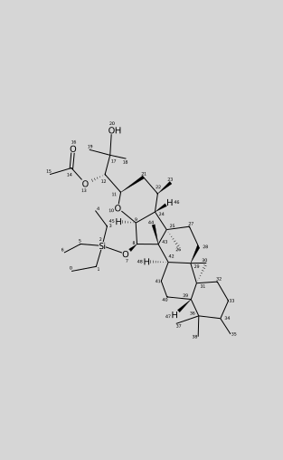 CC[Si](CC)(CC)O[C@H]1[C@H]2O[C@@H]([C@H](OC(C)=O)C(C)(C)O)C[C@@H](C)[C@@H]2[C@@]2(C)CC[C@@]34C[C@@]35CCC(C)C(C)(C)[C@@H]5CC[C@H]4[C@]12C